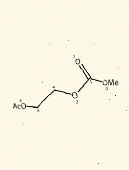 COC(=O)OCCOC(C)=O